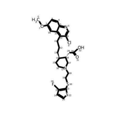 COc1ccc2ncc(Cl)c(CCC[C@@H]3CCN(CCSc4sccc4F)C[C@H]3CC(=O)O)c2c1